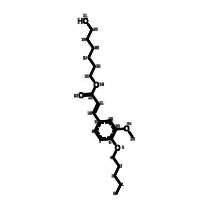 CCCCCOc1ccc(/C=C/C(=O)OCCCCCCO)cc1OC